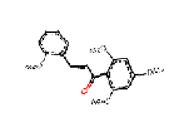 COc1cc(OC)c(C(=O)/C=C/c2ccccc2OC)c(OC)c1